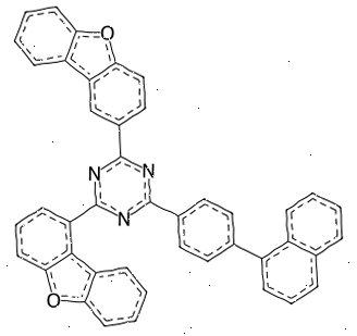 c1ccc2c(-c3ccc(-c4nc(-c5ccc6oc7ccccc7c6c5)nc(-c5cccc6oc7ccccc7c56)n4)cc3)cccc2c1